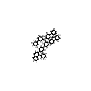 C1=CCC2C(=C1)C=CC(c1ccc(-c3cccc(N(C4=CC=C5C6=C(CCC=C6)C6(c7ccccc7-c7ccccc76)C5C4)C4C=CC=C(c5ccccc5)C4)c3)cc1)=C2c1ccccc1